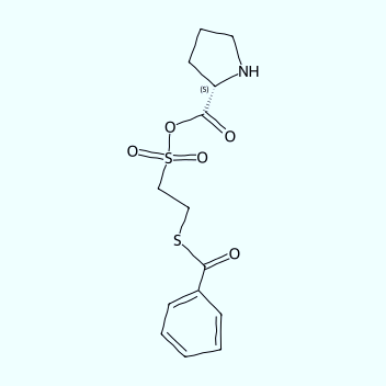 O=C(SCCS(=O)(=O)OC(=O)[C@@H]1CCCN1)c1ccccc1